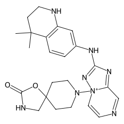 CC1(C)CCNc2cc(NC3=N[N+]4(N5CCC6(CC5)CNC(=O)O6)C=CN=CC4=N3)ccc21